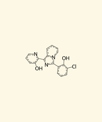 Oc1cccnc1-c1nc(-c2cccc(Cl)c2O)n2ccccc12